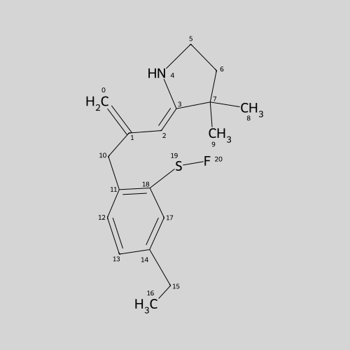 C=C(/C=C1\NCCC1(C)C)Cc1ccc(CC)cc1SF